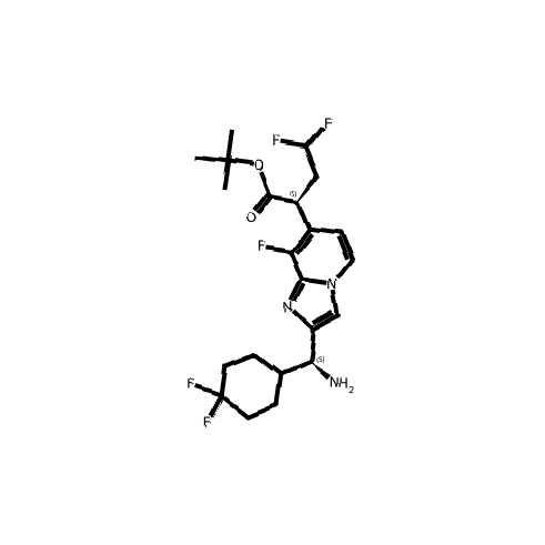 CC(C)(C)OC(=O)[C@@H](CC(F)F)c1ccn2cc([C@@H](N)C3CCC(F)(F)CC3)nc2c1F